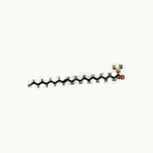 CCCCCCCCC=CCCCCCCCCCCCC(=O)P(C)C